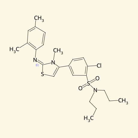 CCCN(CCC)S(=O)(=O)c1cc(-c2cs/c(=N/c3ccc(C)cc3C)n2C)ccc1Cl